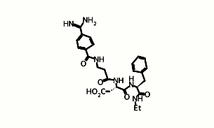 CCNC(=O)[C@H](Cc1ccccc1)NC(=O)[C@H](CC(=O)O)NC(=O)CCNC(=O)c1ccc(C(=N)N)cc1